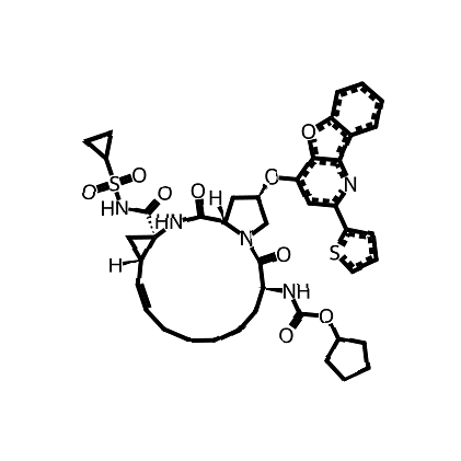 O=C(N[C@H]1CCCCC/C=C\[C@@H]2C[C@@]2(C(=O)NS(=O)(=O)C2CC2)NC(=O)[C@@H]2C[C@@H](Oc3cc(-c4cccs4)nc4c3oc3ccccc34)CN2C1=O)OC1CCCC1